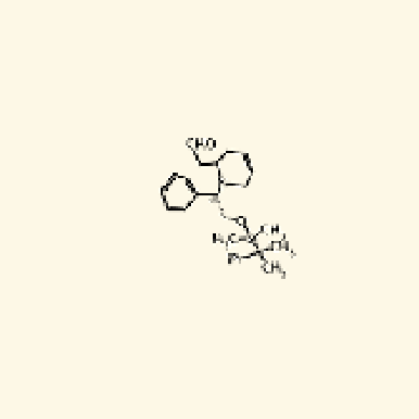 CC(C)C(C)(C)[Si](C)(C)OC[C@H](c1ccccc1)N1CC=CCC1CC=O